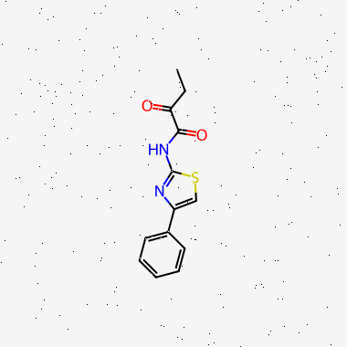 CCC(=O)C(=O)Nc1nc(-c2ccccc2)cs1